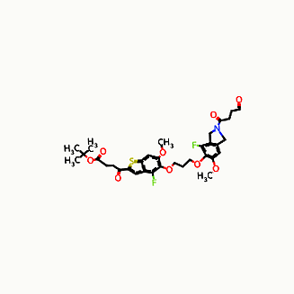 COc1cc2c(c(F)c1OCCCOc1c(OC)cc3sc(C(=O)CCC(=O)OC(C)(C)C)cc3c1F)CN(C(=O)CCC=O)C2